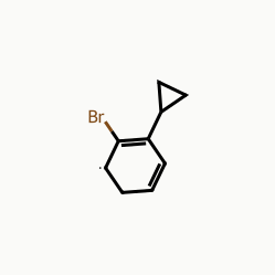 BrC1=C(C2CC2)C=CC[CH]1